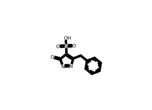 O=C1N=NC(Cc2ccccc2)=C1S(=O)(=O)O